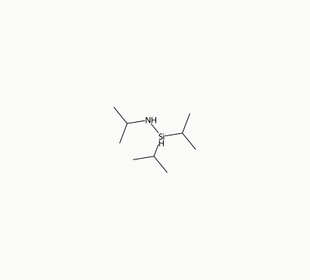 CC(C)N[SiH](C(C)C)C(C)C